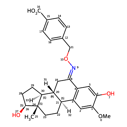 COc1cc2c(cc1O)C(=NOCc1ccc(C(=O)O)cc1)C[C@@H]1[C@@H]2CC[C@]2(C)[C@@H](O)CC[C@@H]12